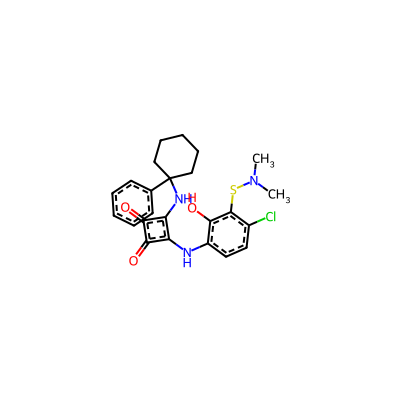 CN(C)Sc1c(Cl)ccc(Nc2c(NC3(c4ccccc4)CCCCC3)c(=O)c2=O)c1O